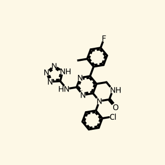 Cc1cc(F)ccc1-c1nc(Nc2nnn[nH]2)nc2c1CNC(=O)N2c1ccccc1Cl